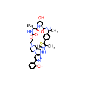 Cc1ncsc1-c1ccc([C@H](C)NC(=O)[C@@H]2C[C@@H](O)CN2C(=O)[C@H](NC(=O)OCCN2CCN3c4cc(-c5ccccc5O)nnc4NC[C@@H]3C2)C(C)(C)C)cc1